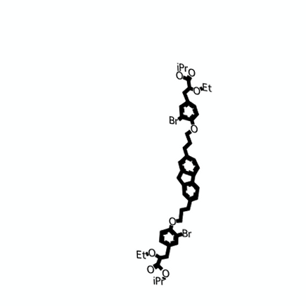 CCOC(Cc1ccc(OCCCc2ccc3c(c2)Cc2cc(CCCOc4ccc(CC(OCC)C(=O)OC(C)C)cc4Br)ccc2-3)c(Br)c1)C(=O)OC(C)C